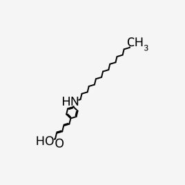 CCCCCCCCCCCCCCCCNc1ccc(C=CC=CC(=O)O)cc1